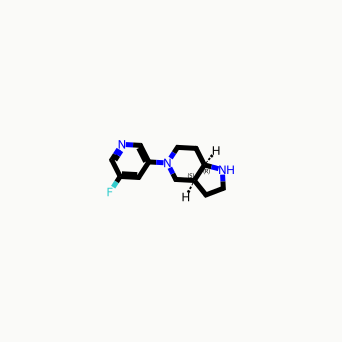 Fc1cncc(N2CC[C@H]3NCC[C@H]3C2)c1